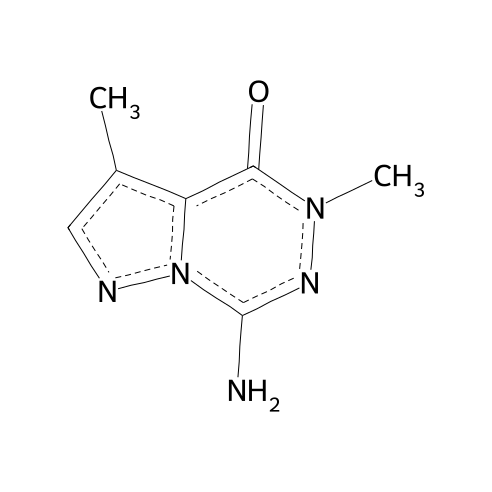 Cc1cnn2c(N)nn(C)c(=O)c12